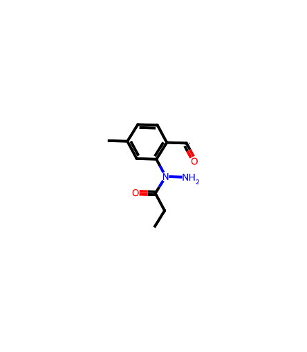 CCC(=O)N(N)c1cc(C)ccc1[C]=O